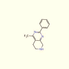 FC(F)(F)c1nc(-c2ccccc2)nc2c1CCNC2